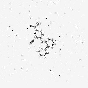 N#Cc1cc(C(=O)O)ccc1Oc1ccccc1-c1ccccc1